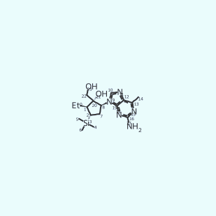 CC[C@@H]1[C@@H]([Si](C)(C)C)C[C@H](n2cnc3c(C)nc(N)nc32)[C@]1(O)CO